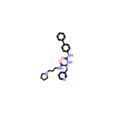 O=C(Nc1ccc(-c2ccccc2)cc1)N[C@@H](Cc1cccnc1)C(=O)NCCCN1CCCC1